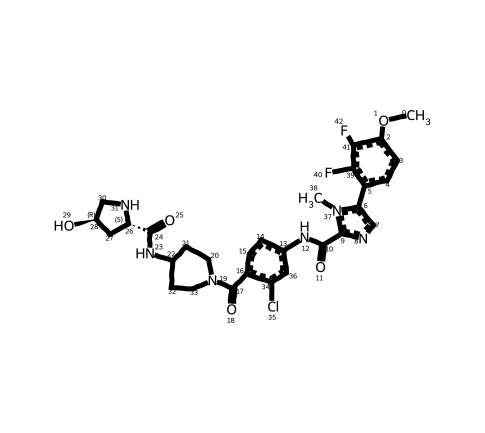 COc1ccc(-c2cnc(C(=O)Nc3ccc(C(=O)N4CCC(NC(=O)[C@@H]5C[C@@H](O)CN5)CC4)c(Cl)c3)n2C)c(F)c1F